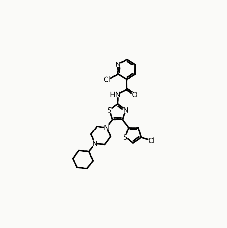 O=C(Nc1nc(-c2cc(Cl)cs2)c(N2CCN(C3CCCCC3)CC2)s1)c1cccnc1Cl